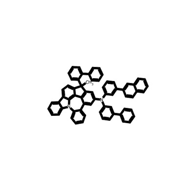 CC1(c2ccccc2-c2ccccc2)c2cc(N(c3cccc(-c4ccccc4)c3)c3cccc(-c4ccc5ccccc5c4)c3)cc3c2-c2c1ccc1c4ccccc4n(c21)-c1ccccc1-3